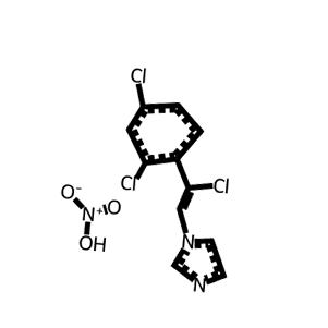 ClC(=Cn1ccnc1)c1ccc(Cl)cc1Cl.O=[N+]([O-])O